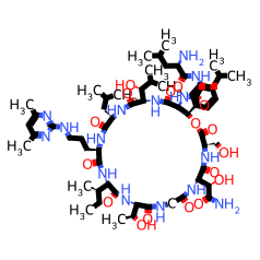 CC[C@H](C)[C@@H]1NC(=O)[C@@H](CCCNc2nc(C)cc(C)n2)NC(=O)[C@H](CC(C)C)NC(=O)[C@H]([C@H](O)C(C)C)NC(=O)[C@@H](NC(=O)[C@H](CC(C)C)NC(=O)[C@H](N)CC(C)C)[C@@H](c2ccccc2)OC(=O)[C@H](CO)NC(=O)[C@H]([C@H](O)C(N)=O)NC(=O)CNC(=O)[C@H]([C@H](C)O)NC1=O